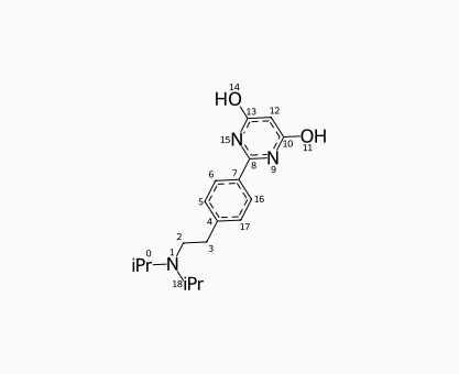 CC(C)N(CCc1ccc(-c2nc(O)cc(O)n2)cc1)C(C)C